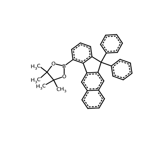 CC1(C)OB(c2cccc3c2-c2cc4ccccc4cc2C3(c2ccccc2)c2ccccc2)OC1(C)C